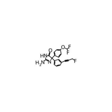 NC1=NC(c2ccc(OC(F)F)cc2)(c2cccc(C#CCF)c2)C(=O)N1